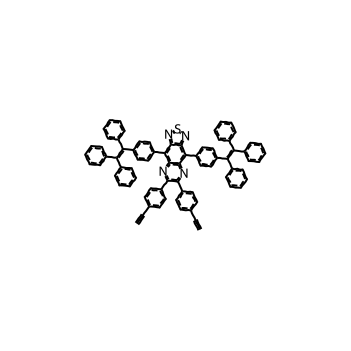 C#Cc1ccc(-c2nc3c(-c4ccc(C(=C(c5ccccc5)c5ccccc5)c5ccccc5)cc4)c4nsnc4c(-c4ccc(C(=C(c5ccccc5)c5ccccc5)c5ccccc5)cc4)c3nc2-c2ccc(C#C)cc2)cc1